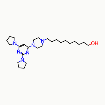 OCCCCCCCCCCN1CCN(c2cc(N3CCCC3)nc(N3CCCC3)n2)CC1